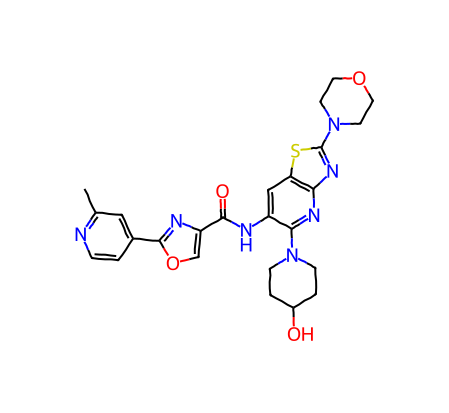 Cc1cc(-c2nc(C(=O)Nc3cc4sc(N5CCOCC5)nc4nc3N3CCC(O)CC3)co2)ccn1